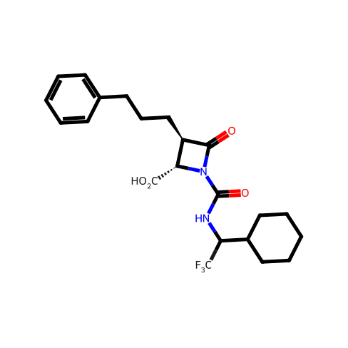 O=C(O)[C@@H]1[C@@H](CCCc2ccccc2)C(=O)N1C(=O)NC(C1CCCCC1)C(F)(F)F